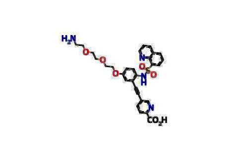 NCCOCCOCCOc1ccc(NS(=O)(=O)c2cccc3cccnc23)c(C#Cc2ccc(C(=O)O)nc2)c1